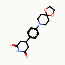 O=C1CC(c2ccc(N3CCC4(CC3)OCCO4)cc2)CC(=O)N1